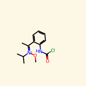 CO[N+](=C(C)c1ccccc1NC(=O)Cl)C(C)C